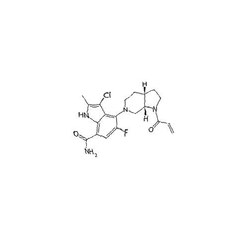 C=CC(=O)N1CC[C@H]2CCN(c3c(F)cc(C(N)=O)c4[nH]c(C)c(Cl)c34)C[C@H]21